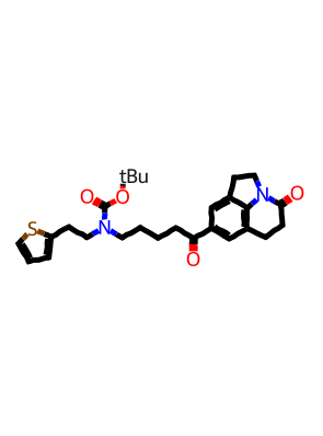 CC(C)(C)OC(=O)N(CCCCC(=O)c1cc2c3c(c1)CCN3C(=O)CC2)CCc1cccs1